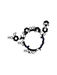 CO[C@@H]1C[C@H](C[C@@H](C)[C@@H]2CC(O)[C@H](C)/C=C(\C)[C@@H](O)[C@@H](OC)C(=O)[C@H](C)C[C@H](C)/C=C/C=C/C=C(\C)C(OC3CCN(c4ncccn4)CC3)C[C@@H]3CC[C@@H](C)[C@@](O)(O3)C(=O)C(=O)N3CCCC[C@H]3C(=O)O2)CC[C@H]1O